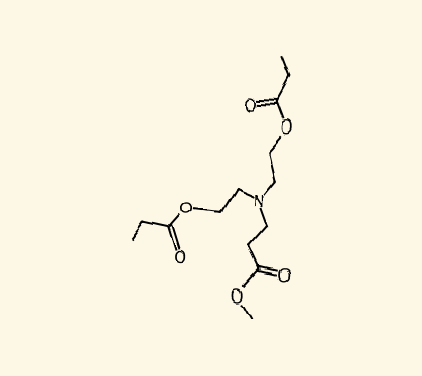 CCC(=O)OCCN(CCOC(=O)CC)CCC(=O)OC